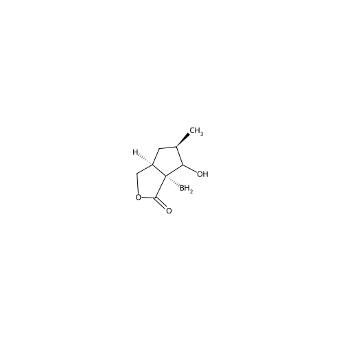 B[C@]12C(=O)OC[C@H]1C[C@@H](C)C2O